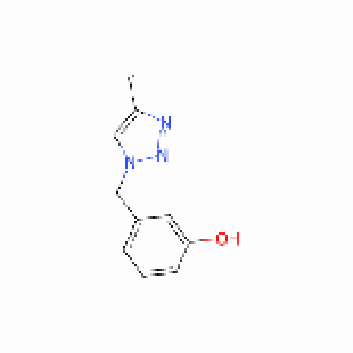 [CH2]c1cn(Cc2cccc(O)c2)nn1